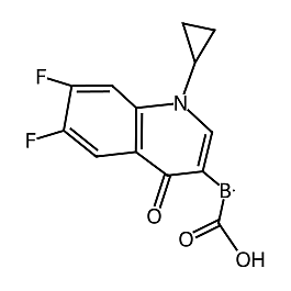 O=C(O)[B]c1cn(C2CC2)c2cc(F)c(F)cc2c1=O